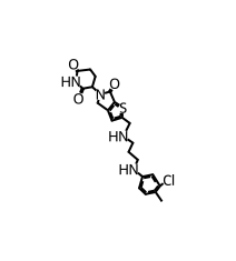 Cc1ccc(NCCCNCc2cc3c(s2)C(=O)N(C2CCC(=O)NC2=O)C3)cc1Cl